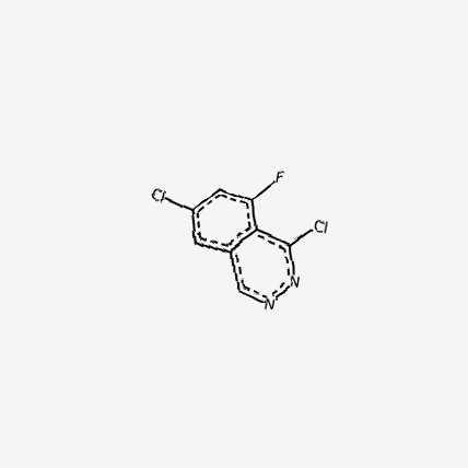 Fc1cc(Cl)cc2cnnc(Cl)c12